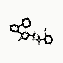 COc1ccccc1S(=O)(=O)NC(=O)c1cn(C)c(-c2ccccc2-c2ccccc2)n1